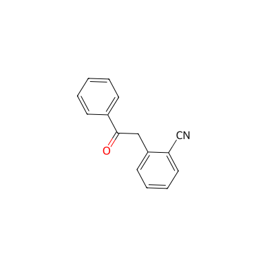 N#Cc1ccccc1CC(=O)c1ccccc1